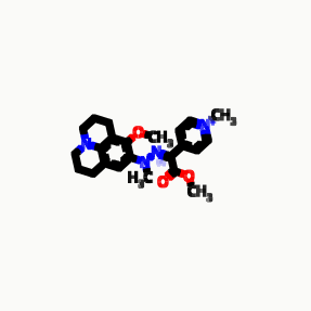 COC(=O)/C(=N\N(C)c1cc2c3c(c1OC)CCCN3CCC2)c1cc[n+](C)cc1